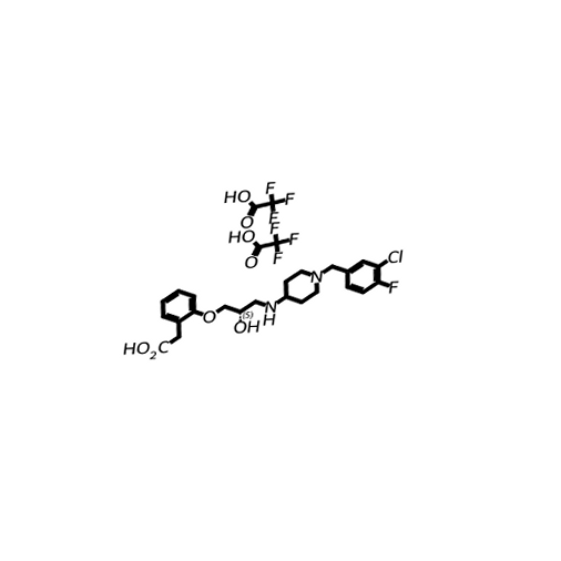 O=C(O)C(F)(F)F.O=C(O)C(F)(F)F.O=C(O)Cc1ccccc1OC[C@@H](O)CNC1CCN(Cc2ccc(F)c(Cl)c2)CC1